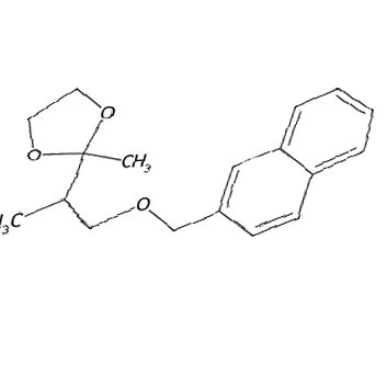 CC(COCc1ccc2ccccc2c1)C1(C)OCCO1